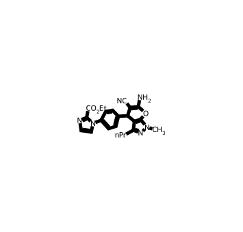 CCCc1nn(C)c2c1C(c1ccc(-n3ccnc3C(=O)OCC)cc1)C(C#N)=C(N)O2